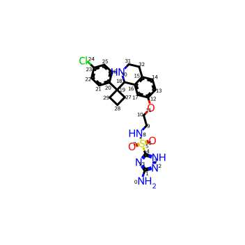 Nc1n[nH]c(S(=O)(=O)NCCOc2ccc3c(c2)C(C2(c4ccc(Cl)cc4)CCC2)NCC3)n1